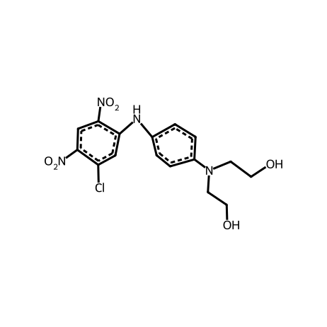 O=[N+]([O-])c1cc([N+](=O)[O-])c(Nc2ccc(N(CCO)CCO)cc2)cc1Cl